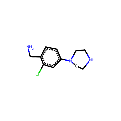 NCc1ccc(N2CCNCC2)cc1Cl